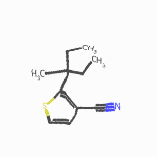 CCC(C)(CC)c1sccc1C#N